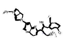 CC(C)N1CC2CN(c3cnc4ccc(/C(=C/N)C(=N)c5cc(Cl)ccc5F)nc4c3)CC21